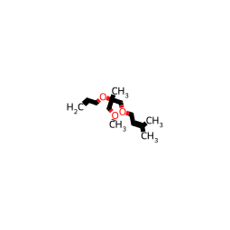 C=CCOC(C)(COC)COCC=C(C)C